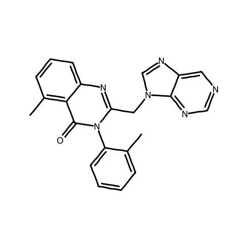 Cc1ccccc1-n1c(Cn2cnc3cncnc32)nc2cccc(C)c2c1=O